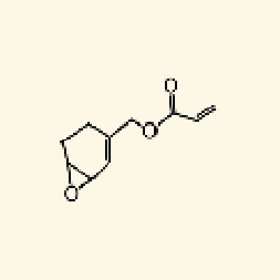 C=CC(=O)OCC1=CC2OC2CC1